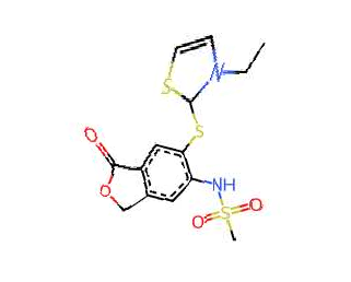 CCN1C=CSC1Sc1cc2c(cc1NS(C)(=O)=O)COC2=O